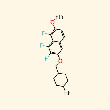 CCCOc1ccc2cc(OCC3CCC(CC)CC3)c(F)c(F)c2c1F